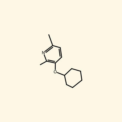 Cc1ccc(OC2CCCCC2)c(C)n1